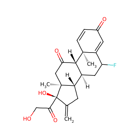 C=C1C[C@H]2[C@@H]3CC(F)C4=CC(=O)C=C[C@]4(C)[C@H]3C(=O)C[C@]2(C)[C@@]1(O)C(=O)CO